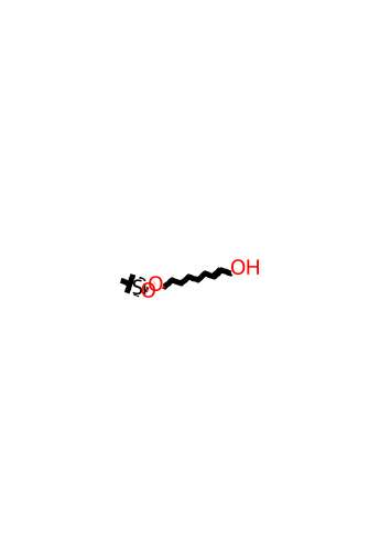 CC(C)(C)[Si](C)(C)OOCCCCCCC=CCO